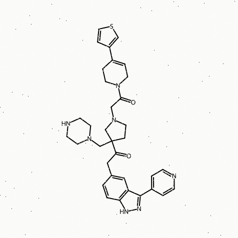 O=C(CN1CCC(CN2CCNCC2)(C(=O)Cc2ccc3[nH]nc(-c4ccncc4)c3c2)C1)N1CC=C(c2ccsc2)CC1